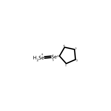 C1CCCC1.[Se]=[SeH2]